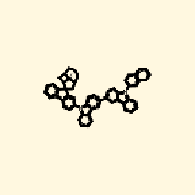 c1ccc2c(c1)-c1ccc(-n3c4ccccc4c4cc(-c5ccc6c(c5)c5ccccc5n6-c5ccc6ccccc6c5)ccc43)cc1C21C2CC3CC4CC1C4(C3)C2